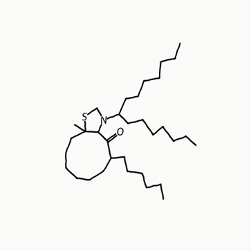 CCCCCCCC(CCCCCCC)N1CSC2(C)CCCCCCC(CCCCCC)C(=O)C12